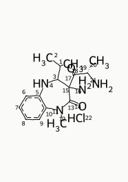 CC(C)C1Nc2ccccc2N(C)C(=O)C1(N)C(=O)[C@H](C)N.Cl